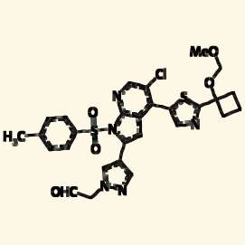 COCOC1(c2ncc(-c3c(Cl)cnc4c3cc(-c3cnn(CC=O)c3)n4S(=O)(=O)c3ccc(C)cc3)s2)CCC1